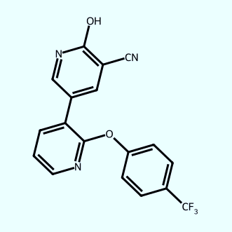 N#Cc1cc(-c2cccnc2Oc2ccc(C(F)(F)F)cc2)cnc1O